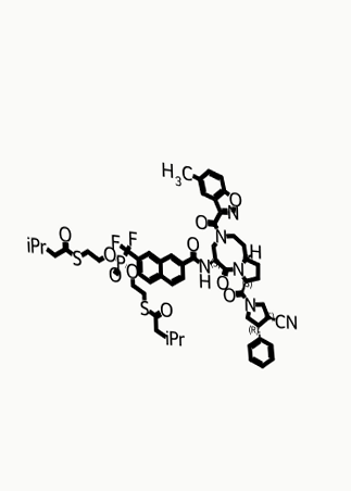 Cc1ccc2onc(C(=O)N3CC[C@H]4CC[C@@H](C(=O)N5C[C@@H](C#N)[C@H](c6ccccc6)C5)N4C(=O)[C@@H](NC(=O)c4ccc5ccc(C(F)(F)P(=O)(OCCSC(=O)CC(C)C)OCCSC(=O)CC(C)C)cc5c4)C3)c2c1